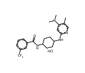 Cc1cnc(NC2CCC(NC(=O)c3cccc(C(F)(F)F)c3)CC2)cc1N(C)C.Cl